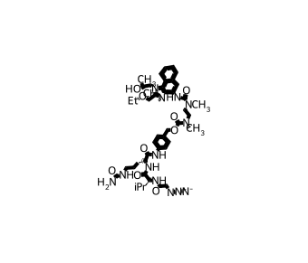 CCOCc1nc2c(NC(=O)N(C)CCN(C)C(=O)OCc3ccc(NC(=O)[C@@H](CCCNC(N)=O)NC(=O)[C@H](NC(=O)CN=[N+]=[N-])C(C)C)cc3)cc3ccccc3c2n1CC(C)(C)O